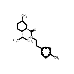 Cc1ccc(CCNC(=O)[C@@H]2C[C@H](C)CC[C@H]2C(C)C)cc1